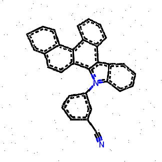 N#Cc1cccc(-n2c3ccccc3c3c4ccccc4c4c5ccccc5ccc4c32)c1